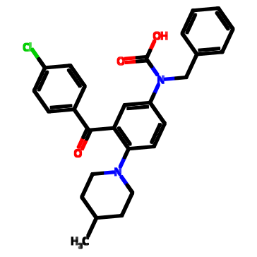 CC1CCN(c2ccc(N(Cc3ccccc3)C(=O)O)cc2C(=O)c2ccc(Cl)cc2)CC1